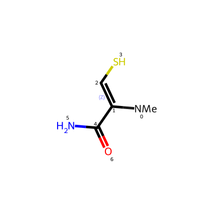 CN/C(=C\S)C(N)=O